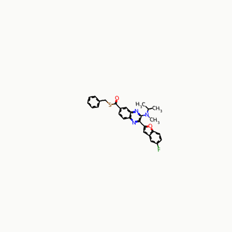 CC(C)N(C)c1nc2cc(C(=O)SCc3ccccc3)ccc2nc1-c1cc2cc(F)ccc2o1